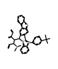 C=CC(=C)C(C(C=C)N(C)C)C1c2cc3c(cc2-c2n(-c4ccc(C(C)(C)C)cc4)c4ccccc4[n+]21)sc1ccccc13